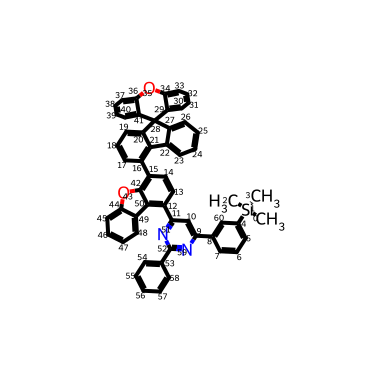 C[Si](C)(C)c1cccc(-c2cc(-c3ccc(-c4cccc5c4-c4ccccc4C54c5ccccc5Oc5ccccc54)c4oc5ccccc5c34)nc(-c3ccccc3)n2)c1